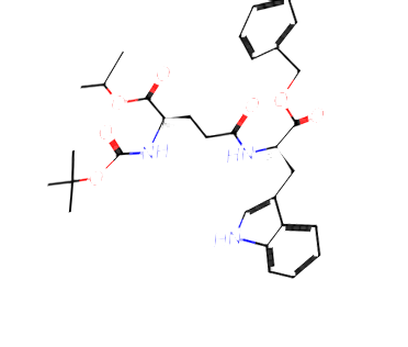 CC(C)OC(=O)[C@@H](CCC(=O)N[C@H](Cc1c[nH]c2ccccc12)C(=O)OCc1ccccc1)NC(=O)OC(C)(C)C